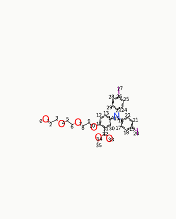 COCCOCCOCCOc1ccc(N(c2ccc(I)cc2)c2ccc(I)cc2)cc1C(=O)OC